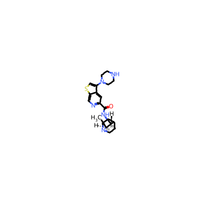 C[C@H]1[C@H](NC(=O)c2cc3c(N4CCNCC4)csc3cn2)C2CCN1CC2